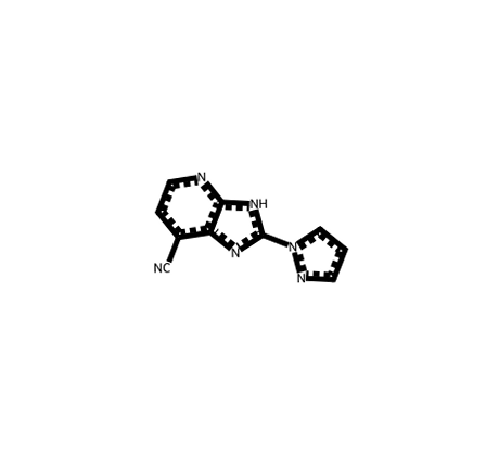 N#Cc1ccnc2[nH]c(-n3cccn3)nc12